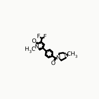 CN1CCN(C(=O)c2ccc(-c3cc(C(F)F)c(=O)n(C)c3)cc2)CC1